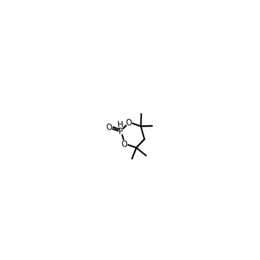 CC1(C)CC(C)(C)O[PH](=O)O1